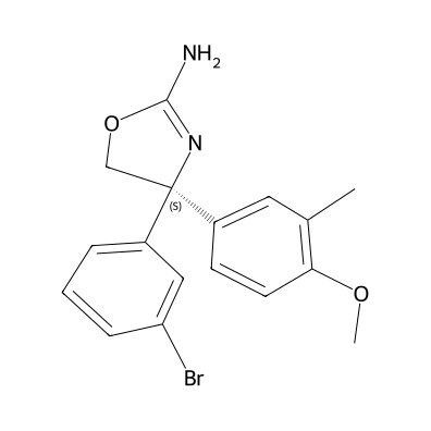 COc1ccc([C@]2(c3cccc(Br)c3)COC(N)=N2)cc1C